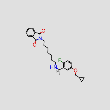 C[C@H](NCCCCCCCN1C(=O)c2ccccc2C1=O)c1cc(OCC2CC2)ccc1F